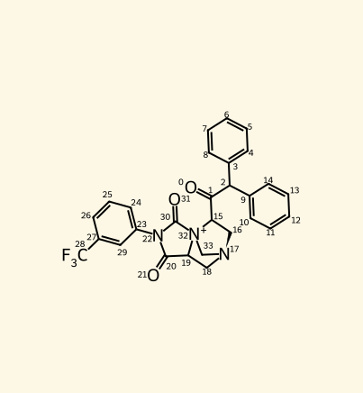 O=C(C(c1ccccc1)c1ccccc1)C1C[N@@]2CC3C(=O)N(c4cccc(C(F)(F)F)c4)C(=O)[N+]13C2